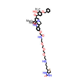 COC(=O)C1=CC(C(=O)c2ccc(OCc3ccccc3)c(C)c2O)=CN2CCc3c([nH]c4ccc(OCC(=O)NCCCOCCOCCOCCCNCCCCC5SCC6NC(=O)NC65)cc34)C12C(=O)OC